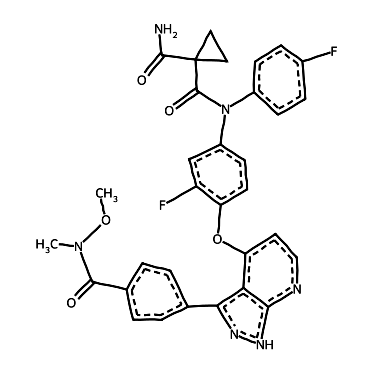 CON(C)C(=O)c1ccc(-c2n[nH]c3nccc(Oc4ccc(N(C(=O)C5(C(N)=O)CC5)c5ccc(F)cc5)cc4F)c23)cc1